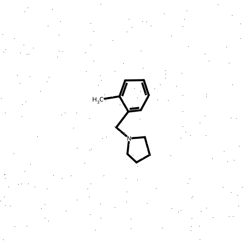 Cc1ccccc1CN1CCCC1